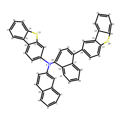 c1ccc2cc(N(c3ccc4c(c3)sc3ccccc34)c3ccc(-c4ccc5sc6ccccc6c5c4)c4ccccc34)ccc2c1